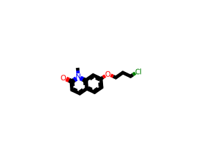 Cn1c(=O)ccc2ccc(OCCCCl)cc21